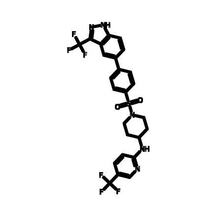 O=S(=O)(c1ccc(-c2ccc3[nH]nc(C(F)(F)F)c3c2)cc1)N1CCC(Nc2ccc(C(F)(F)F)cn2)CC1